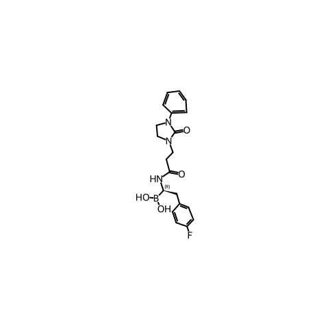 O=C(CCN1CCN(c2ccccc2)C1=O)N[C@@H](Cc1ccc(F)cc1)B(O)O